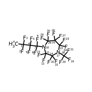 CC(F)(F)C(F)(F)C(F)(F)N1C(F)(F)C(F)(F)N(C(F)(F)F)C(F)(F)C(F)(F)C1(F)F